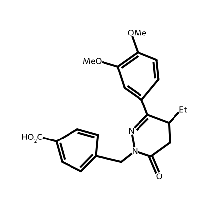 CCC1CC(=O)N(Cc2ccc(C(=O)O)cc2)N=C1c1ccc(OC)c(OC)c1